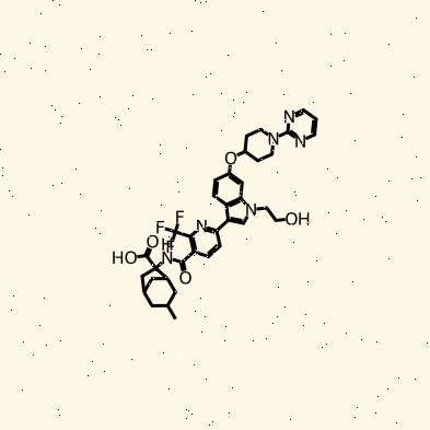 CC1CC2CC(C1)C(NC(=O)c1ccc(-c3cn(CCO)c4cc(OC5CCN(c6ncccn6)CC5)ccc34)nc1C(F)(F)F)(C(=O)O)C2